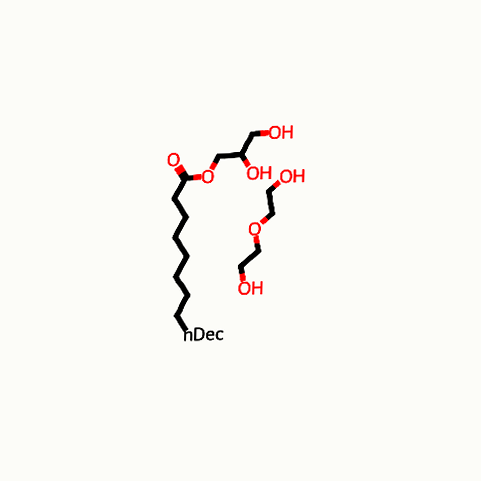 CCCCCCCCCCCCCCCCCC(=O)OCC(O)CO.OCCOCCO